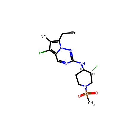 CC(C)Cc1c(C#N)c(F)c2cnc(N[C@@H]3CCN(S(C)(=O)=O)C[C@H]3F)nn12